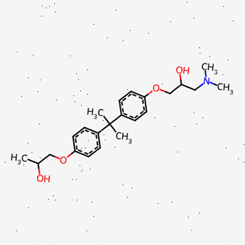 CC(O)COc1ccc(C(C)(C)c2ccc(OCC(O)CN(C)C)cc2)cc1